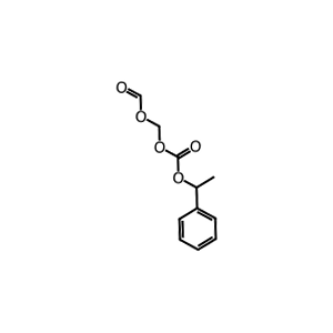 CC(OC(=O)OCOC=O)c1ccccc1